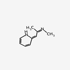 C/N=C(C)\C=C1\C=CC=CN1